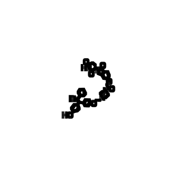 CCC(=C(c1ccc(O)cc1)c1ccc(OCCN2CCN(C(=O)COc3ccc4c(c3)CN(C3CCC(=O)NC3=O)C4=O)CC2)cc1)c1ccccc1